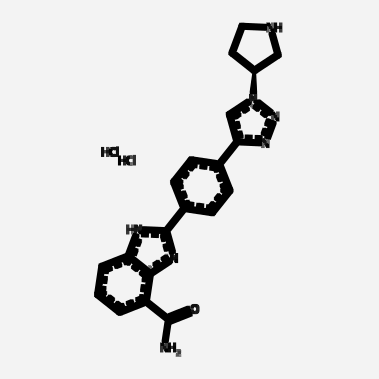 Cl.Cl.NC(=O)c1cccc2[nH]c(-c3ccc(-c4cn([C@H]5CCNC5)nn4)cc3)nc12